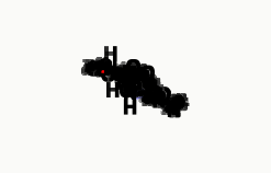 C#CP(=O)(Nc1ccc(C(=O)N[C@@H](CC)C(=O)N[C@@H](C)C(=O)Nc2ccc(COC(=O)N(CCc3c(C)n(C)c4ccccc34)Cc3ccc(/C=C/C(=O)NO)cc3)cc2)cc1)OC(C)(C)COC(C)C